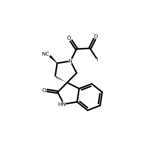 N#C[C@@H]1C[C@@]2(CN1C(=O)C(=O)I)C(=O)Nc1ccccc12